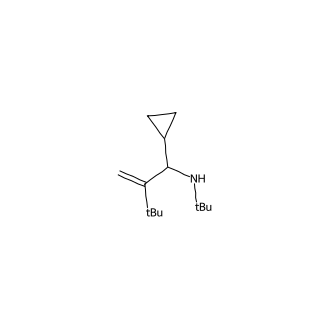 C=C(C(NC(C)(C)C)C1CC1)C(C)(C)C